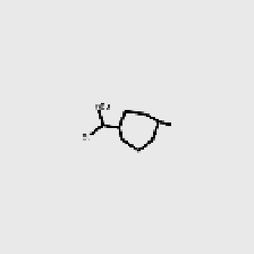 [CH2]CCCC(CC)[C]1CCCC(C)CC1